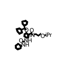 CC(C)OCCCNC(=O)c1cc(NC(=O)Nc2ccccc2)ccc1OC(c1ccccc1)c1ccccc1